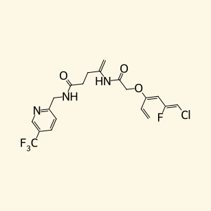 C=C/C(=C\C(F)=C\Cl)OCC(=O)NC(=C)CCC(=O)NCc1ccc(C(F)(F)F)cn1